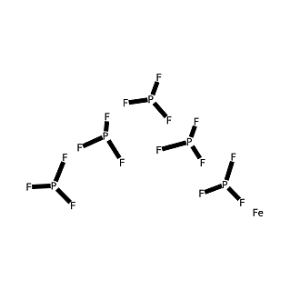 FP(F)F.FP(F)F.FP(F)F.FP(F)F.FP(F)F.[Fe]